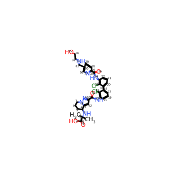 CC(C)(NC1CCCn2nc(C(=O)Nc3cccc(-c4cccc(NC(=O)c5ccc(CNCCO)cn5)c4Cl)c3Cl)cc21)C(=O)O